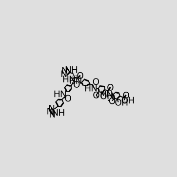 COc1c(NC(=O)c2ccc(NC(=O)c3ccc(NC(=O)[C@H](Cc4cnn[nH]4)NC(=O)c4ccc(NC(=O)c5ccc(-c6nnn[nH]6)cc5)cc4)cc3)c(OC)c2O)ccc(C(=O)O)c1O